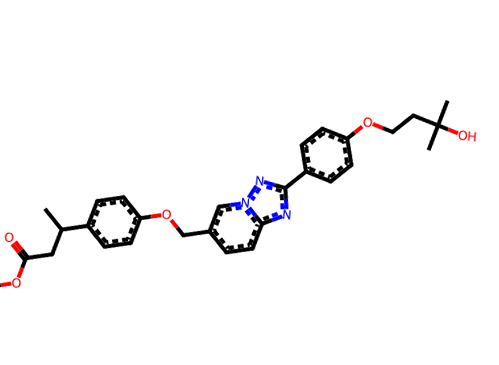 CCOC(=O)CC(C)c1ccc(OCc2ccc3nc(-c4ccc(OCCC(C)(C)O)cc4)nn3c2)cc1